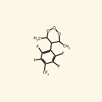 CC1OOOC(C)C1c1c(F)c(F)c(C(F)(F)F)c(F)c1F